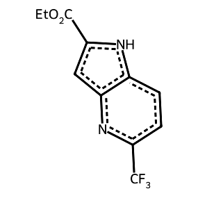 CCOC(=O)c1cc2nc(C(F)(F)F)ccc2[nH]1